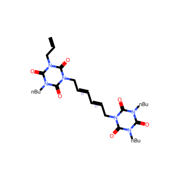 C=CCn1c(=O)n(C/C=C/C=C/Cn2c(=O)n(CCCC)c(=O)n(CCCC)c2=O)c(=O)n(CCCC)c1=O